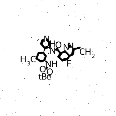 C=CC1=CC2C(F)=CC=C(C(=O)Nc3cnccc3[C@@H]3C[C@H](C)C[C@H](NC(=O)OC(C)(C)C)C3)C2N=N1